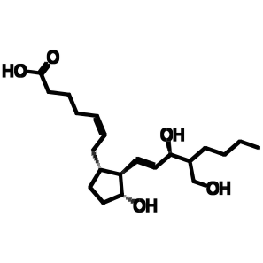 CCCCC(CO)[C@H](O)/C=C/[C@@H]1[C@@H](C/C=C\CCCC(=O)O)CC[C@H]1O